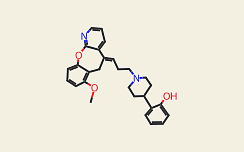 COc1cccc2c1CC(=CCCN1CCC(c3ccccc3O)CC1)c1cccnc1O2